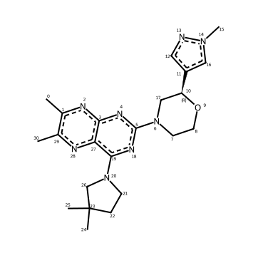 Cc1nc2nc(N3CCO[C@H](c4cnn(C)c4)C3)nc(N3CCC(C)(C)C3)c2nc1C